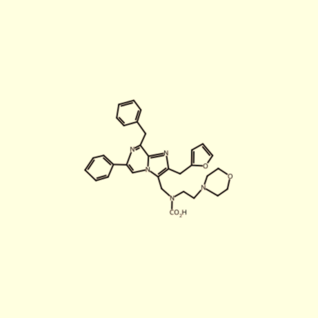 O=C(O)N(CCN1CCOCC1)Cc1c(Cc2ccco2)nc2c(Cc3ccccc3)nc(-c3ccccc3)cn12